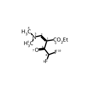 CCOC(=O)/C(=C/N(C)C)C(=O)C(F)F